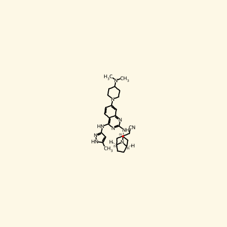 Cc1cc(Nc2nc(N[C@@H]3C[C@H]4CC[C@@H](C3)N4CCC#N)nc3cc(N4CCC(N(C)C)CC4)ccc23)n[nH]1